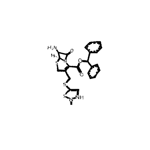 CN1NC=C(SCC2=C(C(=O)OC(c3ccccc3)c3ccccc3)N3C(=O)C(N)[C@@H]3SC2)S1